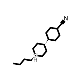 CCCC[Si@H]1CC[C@H](C2CCC(C#N)CC2)CC1